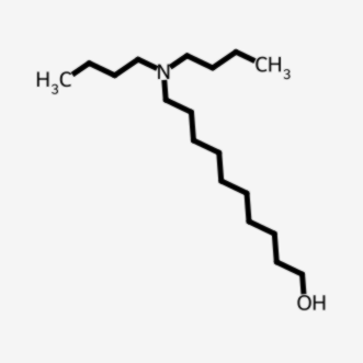 CCCCN(CCCC)CCCCCCCCCCO